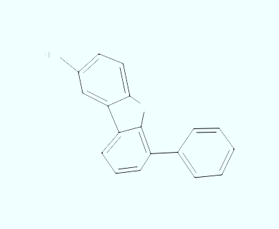 CC(C)(C)c1ccc2oc3c(-c4ccccc4)cccc3c2c1